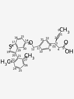 CC#C[C@@H](CC(=O)O)c1ccc(COc2ccc3scc(-c4c(C)cccc4C)c3c2)cc1